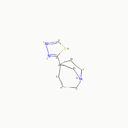 c1nnc(C23CCCN(CC2)C3)s1